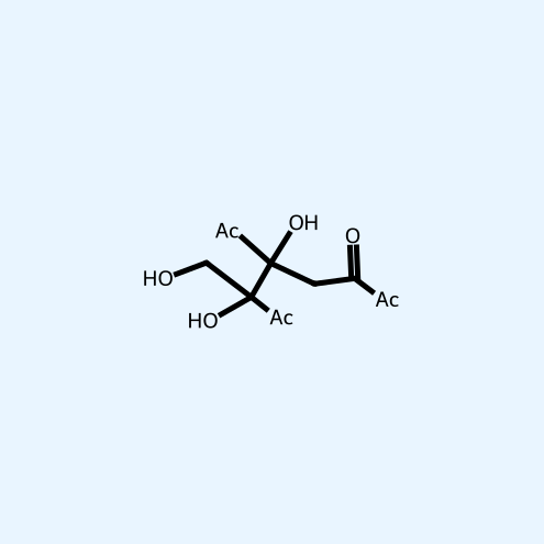 CC(=O)C(=O)CC(O)(C(C)=O)C(O)(CO)C(C)=O